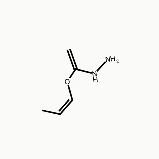 C=C(NN)O/C=C\C